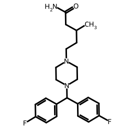 CC(CCN1CCN(C(c2ccc(F)cc2)c2ccc(F)cc2)CC1)CC(N)=O